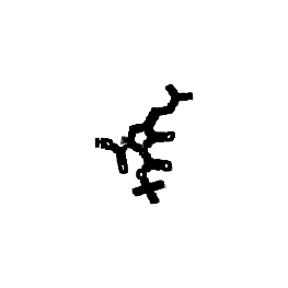 CC(C)CC=C1C[C@@H](C(=O)O)N(C(=O)OC(C)(C)C)C1=O